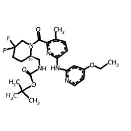 CCOc1ccnc(Nc2ccc(C)c(C(=O)N3CC(F)(F)CC[C@@H]3CNC(=O)OC(C)(C)C)n2)c1